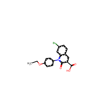 CCOc1ccc(-n2c(=O)c(C(=O)O)cc3ccc(Br)cc32)cc1